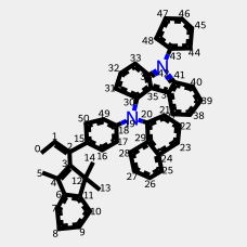 C/C=C(\C1=C(C)c2ccccc2C1(C)C)c1ccc(N(c2cccc3ccccc23)c2cccc3c2c2ccccc2n3-c2ccccc2)cc1